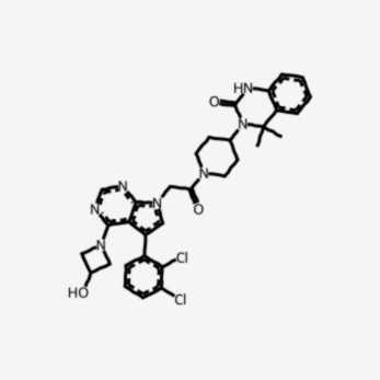 CC1(C)c2ccccc2NC(=O)N1C1CCN(C(=O)Cn2cc(-c3cccc(Cl)c3Cl)c3c(N4CC(O)C4)ncnc32)CC1